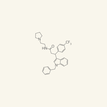 O=C(CC(c1ccc(C(F)(F)F)cc1)c1cn(Cc2ccccc2)c2ccccc12)NCCN1CCCC1